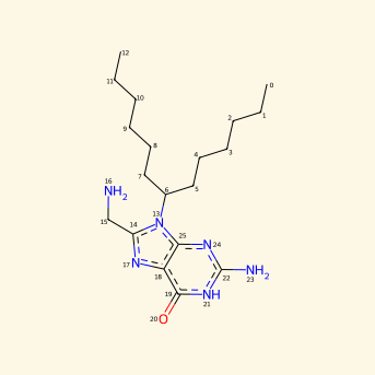 CCCCCCC(CCCCCC)n1c(CN)nc2c(=O)[nH]c(N)nc21